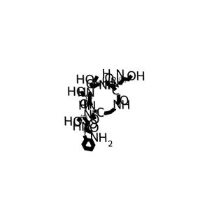 CC(O)[C@@H]1NC(=O)[C@@H](NC[C@@H](N)CO)CCC(=O)NCCCC[C@@H](C(=O)N[C@@H](CO)C(=O)N[C@@H](Cc2ccccc2)C(N)=O)NC(=O)[C@H](CO)NC1=O